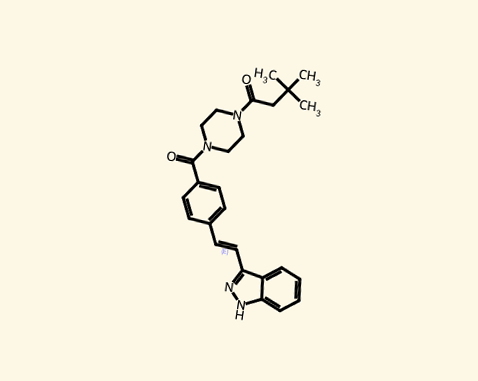 CC(C)(C)CC(=O)N1CCN(C(=O)c2ccc(/C=C/c3n[nH]c4ccccc34)cc2)CC1